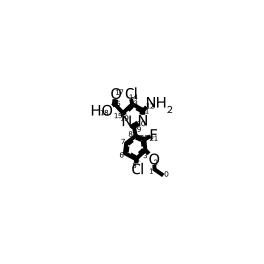 CCOc1c(Cl)ccc(-c2nc(N)c(Cl)c(C(=O)O)n2)c1F